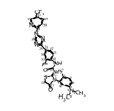 CC(C)c1ccc(N(C)C)cc1N1C(=O)CS/C1=N\C(=O)Nc1ccc(-c2ncn(-c3ccc(C(F)(F)F)cn3)n2)cc1F